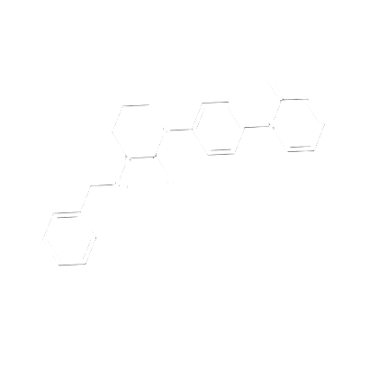 O=C1N(NCc2ccccc2)CCCN1c1ccc(-n2ccccc2=O)cc1